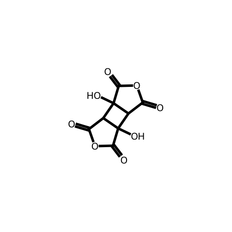 O=C1OC(=O)C2(O)C1C1(O)C(=O)OC(=O)C21